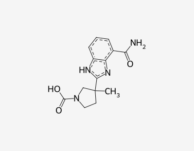 CC1(c2nc3c(C(N)=O)cccc3[nH]2)CCN(C(=O)O)C1